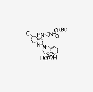 CC(C)(C)OC(=O)N1CC(Nc2cc(N3CCS(O)(O)c4ccccc4C3)nc3ccc(Cl)cc23)C1